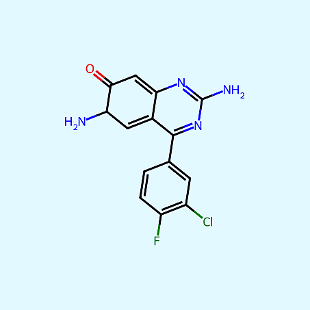 Nc1nc(-c2ccc(F)c(Cl)c2)c2c(n1)=CC(=O)C(N)C=2